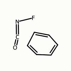 O=C=NF.c1ccccc1